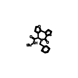 CC(C)(C)NC(=O)C1c2ccoc2-c2ccsc2C(=O)N1Cc1ccccc1